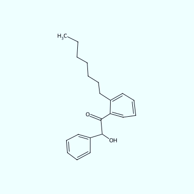 CCCCCCCc1ccccc1C(=O)C(O)c1ccccc1